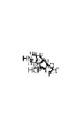 Cl.FC(F)Oc1ccc2c(c1)CC1CNCC2C1